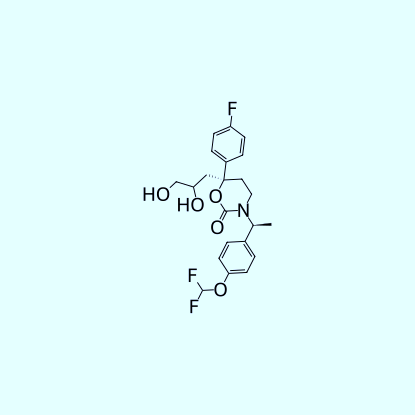 C[C@@H](c1ccc(OC(F)F)cc1)N1CC[C@](CC(O)CO)(c2ccc(F)cc2)OC1=O